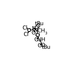 C[C@H](c1ccc(C(=O)NCCC(=O)OC(C)(C)C)cc1)N1C(=O)C(c2cc(Cl)cc(Cl)c2)=NC12CCOC(C(C)(C)C)C2